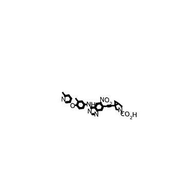 Cc1ccc(Oc2ccc(Nc3ncnc4cc(C#CC56CC5CN(C(=O)O)C6)c([N+](=O)[O-])cc34)cc2C)cn1